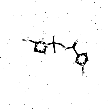 CC(C)n1ccc(C(=O)OCC(C)(C)n2ccc(C(=O)O)n2)n1